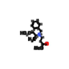 COC(=O)CCN(Cc1ccccc1)C(C)CC(=O)O